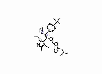 CCn1nc(C)c(C)c1/C(OCOC(=O)CC(C)C)=C(\C=N/C)c1ccc(C(C)(C)C)cc1